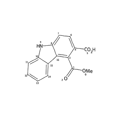 COC(=O)c1c(C(=O)O)ccc2[nH]c3ccccc3c12